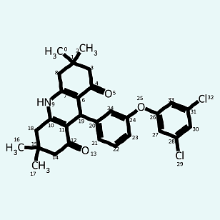 CC1(C)CC(=O)C2=C(C1)NC1=C(C(=O)CC(C)(C)C1)C2c1cccc(Oc2cc(Cl)cc(Cl)c2)c1